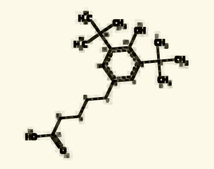 CC(C)(C)c1cc(CCC[CH]C(=O)O)cc(C(C)(C)C)c1O